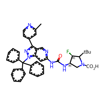 Cc1cc(-c2nn(C(c3ccccc3)(c3ccccc3)c3ccccc3)c3cc(NC(=O)N[C@@H]4CN(C(=O)O)C(C(C)(C)C)[C@@H]4F)ncc23)ccn1